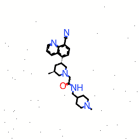 C[C@H]1C[C@H](c2ccc(C#N)c3ncccc23)CN(CC(=O)NCC2CCN(C)CC2)C1